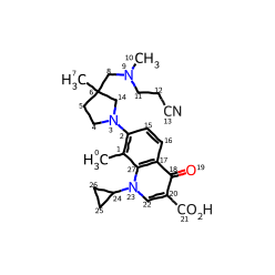 Cc1c(N2CCC(C)(CN(C)CCC#N)C2)ccc2c(=O)c(C(=O)O)cn(C3CC3)c12